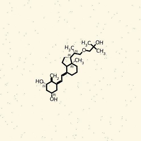 C=C1C(=CC=C2CCC[C@@]3(C)C2CC[C@@H]3[C@H](C)COCC(C)(C)O)C[C@@H](O)C[C@@H]1O